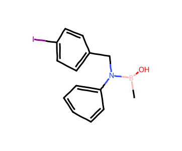 CB(O)N(Cc1ccc(I)cc1)c1ccccc1